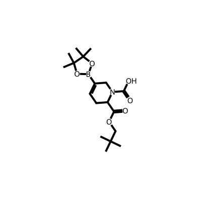 CC(C)(C)COC(=O)C1CC=C(B2OC(C)(C)C(C)(C)O2)CN1C(=O)O